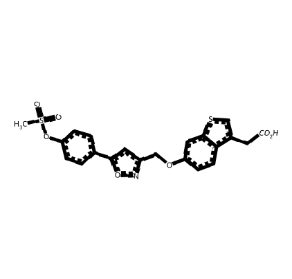 CS(=O)(=O)Oc1ccc(-c2cc(COc3ccc4c(CC(=O)O)csc4c3)no2)cc1